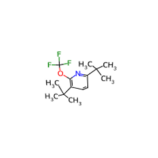 CC(C)(C)c1ccc(C(C)(C)C)c(OC(F)(F)F)n1